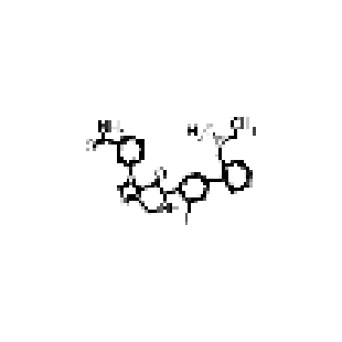 CCN(C)Cc1ccccc1-c1ccc(C2NCc3ncn(-c4cccc(C(N)=O)c4)c3C2=O)c(F)c1